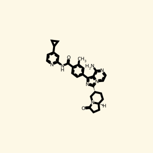 Cc1cc(-c2nc([C@@H]3CC[C@H]4CCC(=O)N4C3)n3ccnc(N)c23)ccc1C(=O)Nc1cc(C2CC2)ccn1